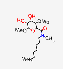 CNCCCCCCN(C)C(=O)C1O[C@@H](OC)[C@@H](O)[C@@H](O)[C@H]1OC